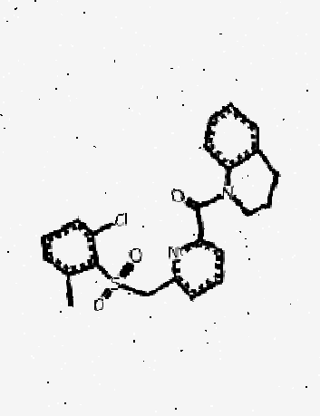 Cc1cccc(Cl)c1S(=O)(=O)Cc1cccc(C(=O)N2CCCc3ccccc32)n1